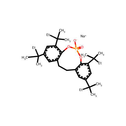 CCC(C)(C)c1cc2c(c(C(C)(C)CC)c1)OP(=O)([O-])Oc1c(cc(C(C)(C)CC)cc1C(C)(C)CC)CC2.[Na+]